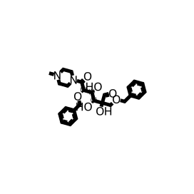 CN1CCN(C(=O)[C@H](OCc2ccccc2)[C@@H](O)[C@H](O)C(O)(C=O)COCc2ccccc2)CC1